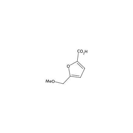 COCc1ccc(C(=O)O)o1